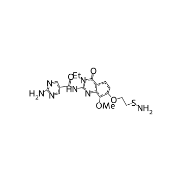 CCn1c(NC(=O)c2cnc(N)nc2)nc2c(OC)c(OCCSN)ccc2c1=O